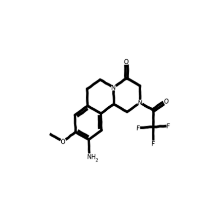 COc1cc2c(cc1N)C1CN(C(=O)C(F)(F)F)CC(=O)N1CC2